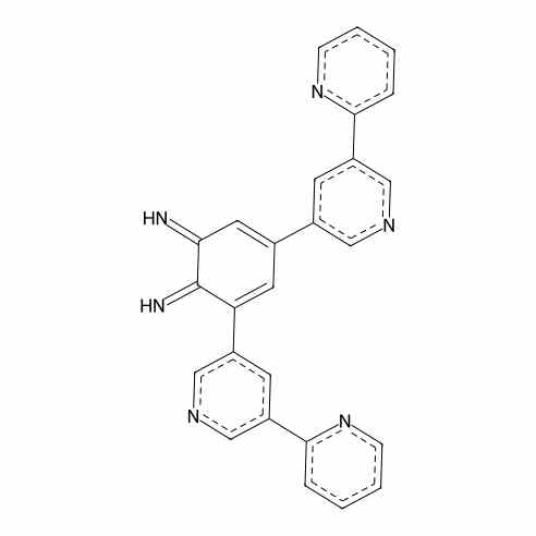 N=C1C=C(c2cncc(-c3ccccn3)c2)C=C(c2cncc(-c3ccccn3)c2)C1=N